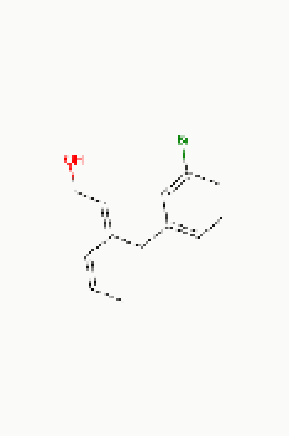 C/C=C\C(=C/CO)CC(=C/C)/C=C(\C)Br